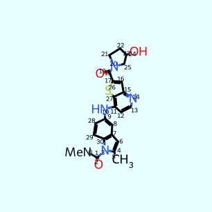 CNC(=O)n1c(C)cc2cc(Nc3ccnc4cc(C(=O)N5CCC(O)C5)sc34)ccc21